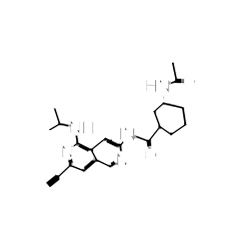 C#Cc1cc2cnc(NC(=O)C3CCC[C@@H](NC(C)=O)C3)cc2c(NC(C)C)n1